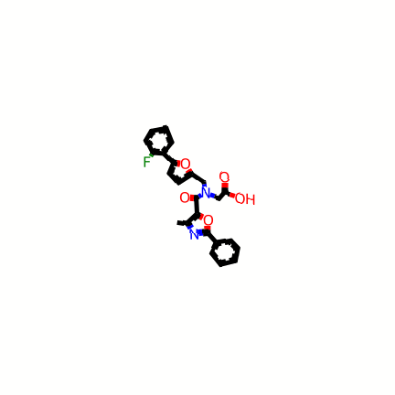 Cc1nc(-c2ccccc2)oc1C(=O)N(CC(=O)O)Cc1ccc(-c2ccccc2F)o1